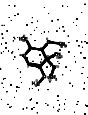 COC1=COC(C)C(OC)C1(C)OC